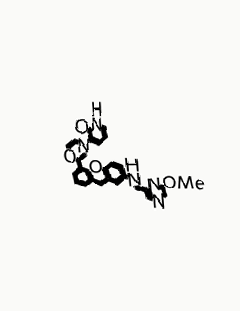 COc1cncc(CNc2ccc3c(c2)Cc2cccc(C4CN(c5ccc[nH]c5=O)CCO4)c2O3)n1